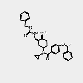 C[C@@H](Oc1ccc(C(=O)N(C2CC2)C2CCC(=N)/C(=C\NC(=O)OCc3ccccc3)C2)cc1)c1ccccc1